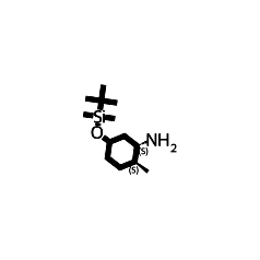 C[C@H]1CCC(O[Si](C)(C)C(C)(C)C)C[C@@H]1N